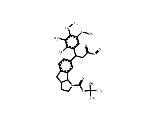 CNc1c(OC)cc(C(CC(=O)N=O)c2ccc3c(c2)C2C(CCN2C(=O)OC(C)(C)C)C3)c(C)c1C